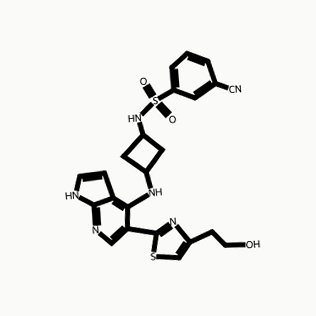 N#Cc1cccc(S(=O)(=O)NC2CC(Nc3c(-c4nc(CCO)cs4)cnc4[nH]ccc34)C2)c1